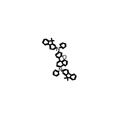 CC1(C)c2ccccc2-c2ccc(N(c3ccccc3)c3ccc4c(c3)Oc3cccc5c(N(c6ccccc6)c6ccc7c(c6)C(C)(C)c6ccccc6-7)ccc-4c35)cc21